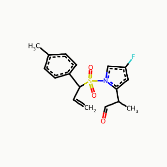 C=CC(c1ccc(C)cc1)S(=O)(=O)n1cc(F)cc1C(C)C=O